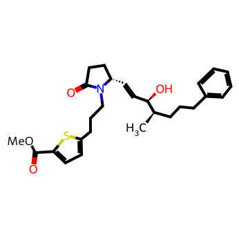 COC(=O)c1ccc(CCCN2C(=O)CC[C@@H]2/C=C/[C@@H](O)[C@H](C)CCCc2ccccc2)s1